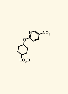 CCOC(=O)C1CCC(Oc2ccc([N+](=O)[O-])cn2)CC1